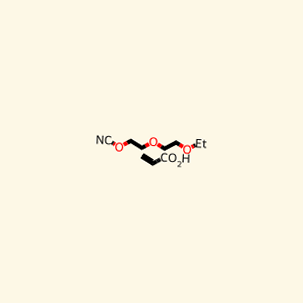 C=CC(=O)O.CCOCCOCCOC#N